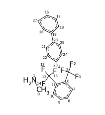 CN.FC(F)(F)c1ccccc1C(F)(F)F.c1ccc(-c2ccccc2)cc1